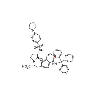 O=C(O)[C@@H](Cc1ccc2c(NC(c3ccccc3)(c3ccccc3)c3ccccc3)nccc2c1F)N1CC[C@H](NS(=O)(=O)c2ccc(N3CCCC3)nc2)C1=O